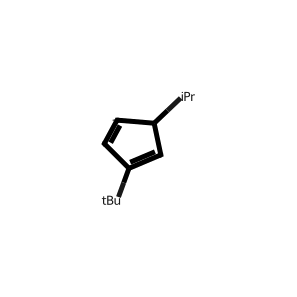 CC(C)C1[C]=CC(C(C)(C)C)=C1